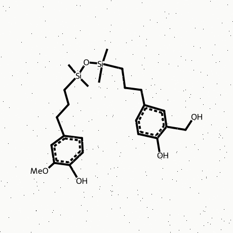 COc1cc(CCC[Si](C)(C)O[Si](C)(C)CCCc2ccc(O)c(CO)c2)ccc1O